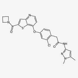 Cc1cc(NC(=O)Cc2ccc(Oc3ccnc4cc(C(=O)N5CCC5)sc34)cc2Cl)nn1C